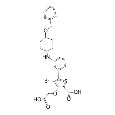 O=C(O)COc1c(C(=O)O)sc(-c2cccc(NC3CCC(OCc4ccccc4)CC3)c2)c1Br